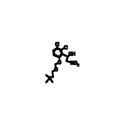 C[Si](C)(C)CCOCOc1ccc(Cl)c(Cl)c1C(O)C[N+](=O)[O-]